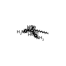 CCCCCCCCCCCCc1c(NC(=O)c2ccc(N)cc2)cc(NC(=O)c2ccc(N)cc2)cc1C(=O)O